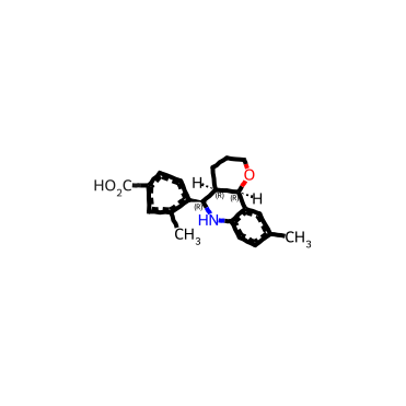 Cc1ccc2c(c1)[C@@H]1OCCC[C@@H]1[C@H](c1ccc(C(=O)O)cc1C)N2